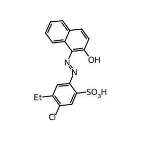 CCc1cc(N=Nc2c(O)ccc3ccccc23)c(S(=O)(=O)O)cc1Cl